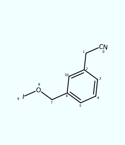 N#CCc1cccc(COI)c1